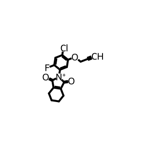 C#CCOc1cc([N+]2C(=O)C3=C(CCCC3)C2=O)c(F)cc1Cl